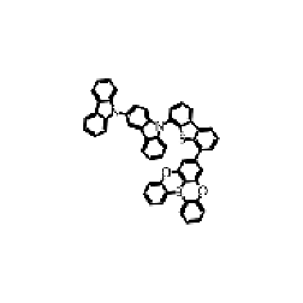 c1ccc2c(c1)Oc1cc(-c3cccc4c3sc3c(-n5c6ccccc6c6cc(-n7c8ccccc8c8ccccc87)ccc65)cccc34)cc3c1B2c1ccccc1O3